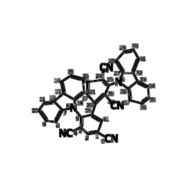 N#Cc1cc(C#N)c(-n2c3ccccc3c3ccccc32)c(-c2ccc(C#N)c(-n3c4ccccc4c4ccccc43)c2C#N)c1